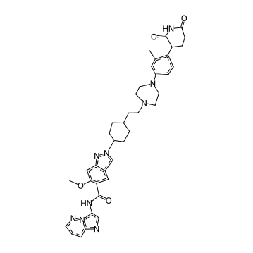 COc1cc2nn(C3CCC(CCN4CCN(c5ccc(C6CCC(=O)NC6=O)c(C)c5)CC4)CC3)cc2cc1C(=O)Nc1cnc2cccnn12